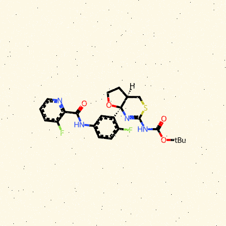 CC(C)(C)OC(=O)NC1=N[C@@]2(c3cc(NC(=O)c4ncccc4F)ccc3F)OCC[C@H]2CS1